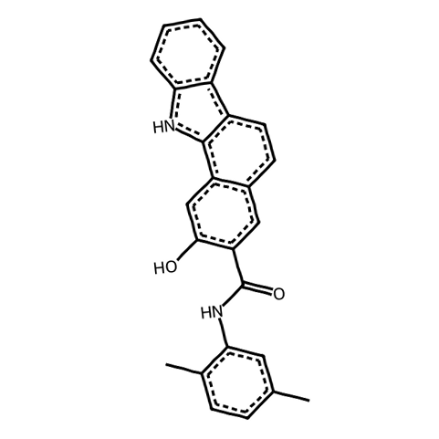 Cc1ccc(C)c(NC(=O)c2cc3ccc4c5ccccc5[nH]c4c3cc2O)c1